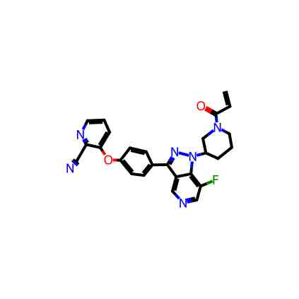 C=CC(=O)N1CCCC(n2nc(-c3ccc(Oc4cccnc4C#N)cc3)c3cncc(F)c32)C1